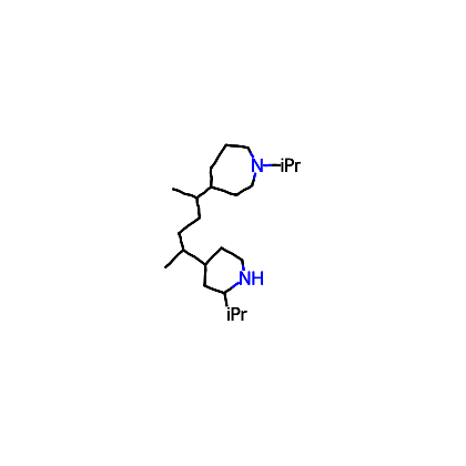 CC(C)C1CC(C(C)CCC(C)C2CCCN(C(C)C)CC2)CCN1